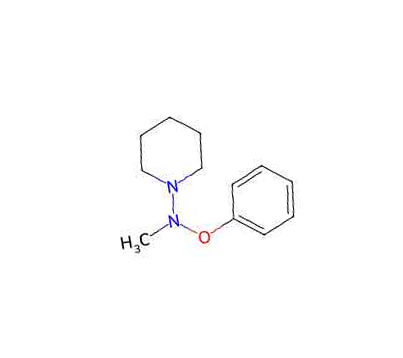 CN(Oc1ccccc1)N1CCCCC1